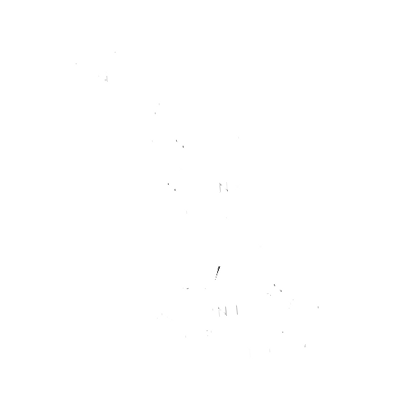 Cc1cn(COCC[Si](C)(C)C)c2ncc(-c3cc4c(c([C@@H]5COCCN5)c3)CN(C(=O)C(C)(C)O)CC4)nc12